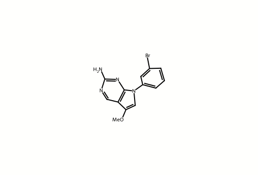 COc1cn(-c2cccc(Br)c2)c2nc(N)ncc12